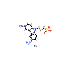 Nc1ccc2c(c1)c1cc(N)ccc1n2CCCS(=O)(=O)[O-].[Na+]